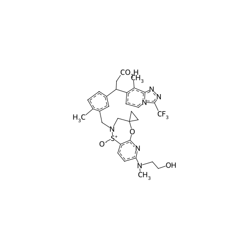 Cc1ccc(C(CC(=O)O)c2ccn3c(C(F)(F)F)nnc3c2C)cc1CN1CC2(CC2)Oc2nc(N(C)CCO)ccc2[S+]1[O-]